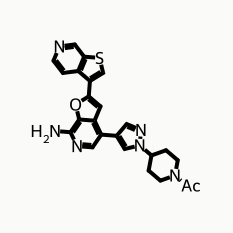 CC(=O)N1CCC(n2cc(-c3cnc(N)c4oc(-c5csc6cnccc56)cc34)cn2)CC1